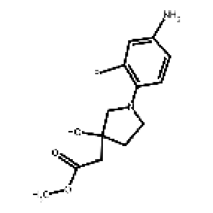 COC(=O)CC1(O)CCN(c2ccc(N)cc2F)C1